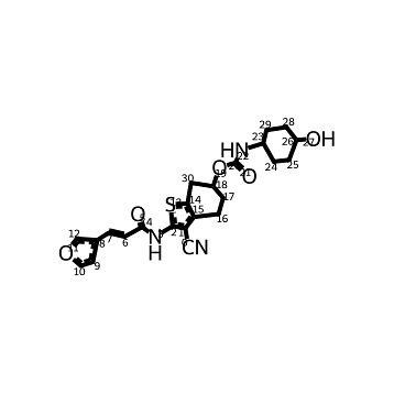 N#Cc1c(NC(=O)C=Cc2ccoc2)sc2c1CCC(OC(=O)NC1CCC(O)CC1)C2